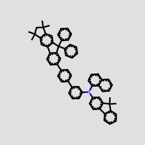 CC1(C)CC(C)(C)c2cc3c(cc21)-c1ccc(-c2ccc(-c4cccc(N(c5ccc6c(c5)C(C)(C)c5ccccc5-6)c5cccc6ccccc56)c4)cc2)cc1C3(c1ccccc1)c1ccccc1